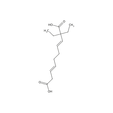 CCC(C=CCCC=CCC(=O)O)(CC)C(=O)O